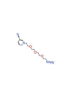 N#CC1=CN(CCOCCOCCOCCN=[N+]=[N-])CC=C1